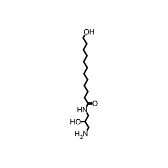 NCC(O)CNC(=O)CCCCCCCCCCCO